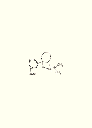 COc1cccc([C@@]2(O[N+](=O)[O-])CCCC[C@@H]2CN(C)C)c1